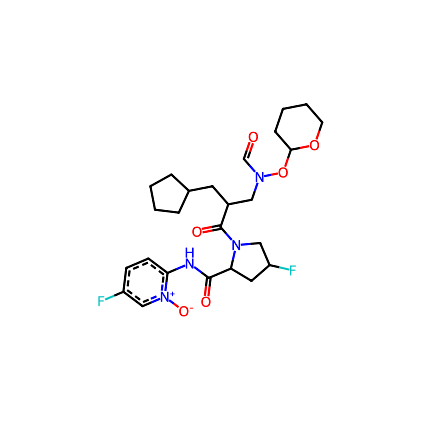 O=CN(CC(CC1CCCC1)C(=O)N1CC(F)CC1C(=O)Nc1ccc(F)c[n+]1[O-])OC1CCCCO1